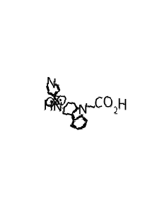 O=C(O)CCn1c2c(c3ccccc31)C[C@H](NS(=O)(=O)c1ccncc1)CC2